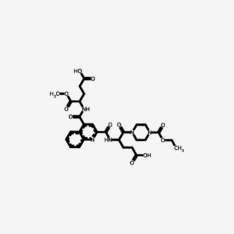 CCOC(=O)N1CCN(C(=O)C(CCC(=O)O)NC(=O)c2cc(C(=O)NC(CCC(=O)O)C(=O)OC)c3ccccc3n2)CC1